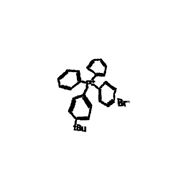 CC(C)(C)c1ccc([P+](c2ccccc2)(c2ccccc2)c2ccccc2)cc1.[Br-]